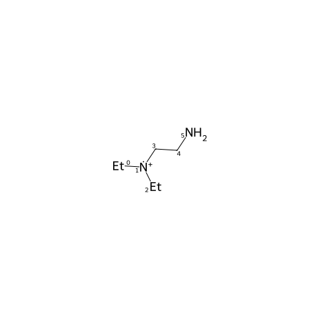 CC[N+](CC)CCN